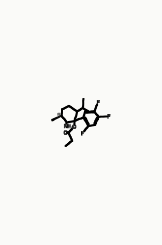 CCC(=O)OC1(c2cc(F)c(F)cc2F)C(C(C)C)CC[C@H](C)C1N